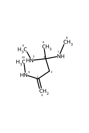 C=C(CC(C)(NC)NC)NC